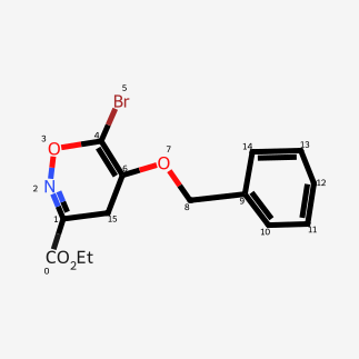 CCOC(=O)C1=NOC(Br)=C(OCc2ccccc2)C1